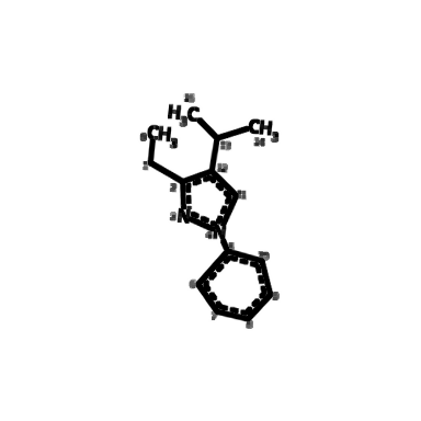 CCc1nn(-c2ccccc2)cc1C(C)C